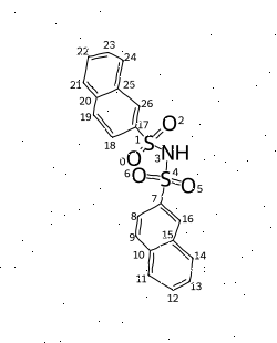 O=S(=O)(NS(=O)(=O)c1ccc2ccccc2c1)c1ccc2ccccc2c1